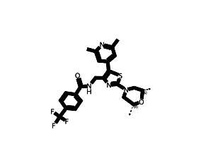 Cc1cc(-c2sc(N3C[C@@H](C)O[C@@H](C)C3)nc2CNC(=O)c2ccc(C(F)(F)F)cc2)cc(C)n1